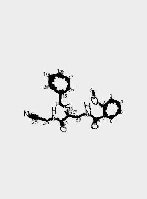 COc1ccccc1C(=O)NCC(SCc1ccccc1)C(=O)NCC#N